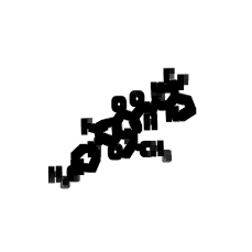 C[C@H]1COc2c(N3CCN(C)CC3)c(F)cc3c(=O)c(C(=O)NNc4ncccc4C(F)(F)F)cn1c23